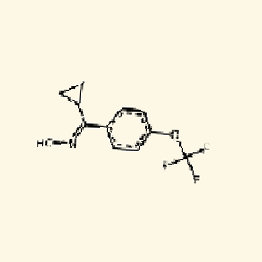 ON=C(c1ccc(OC(F)(F)F)cc1)C1CC1